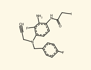 C#CCN(Cc1ccc(F)cc1)c1ccc(NC(=O)CI)c(N)c1F